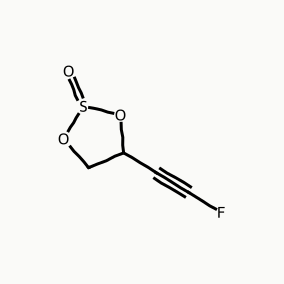 O=S1OCC(C#CF)O1